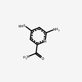 CSc1cc(N)nc(C(N)=O)c1